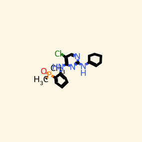 CP(C)(=O)c1ccccc1Nc1nc(NC2=CCCCC2)ncc1Cl